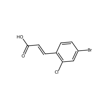 O=C(O)C=Cc1ccc(Br)cc1Cl